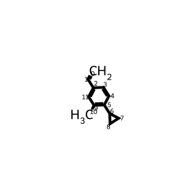 C=Cc1ccc(C2CC2)c(C)c1